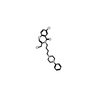 O=C1c2cc(Cl)ccc2OC=C(CCl)N1CCCCN1CCN(c2ccccc2)CC1